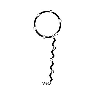 COCCOCCOCCOCCN1COCCOCCOCCOCCOCCO1